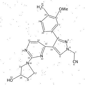 COc1cc(-c2nn(CC#N)cc2-c2ccnc(N3CCC(O)C3)n2)ccc1C